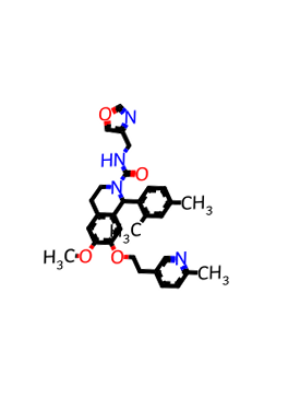 COc1cc2c(cc1OCCc1ccc(C)nc1)C(c1ccc(C)cc1C)N(C(=O)NCc1cocn1)CC2